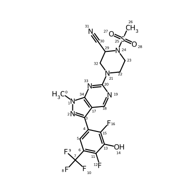 Cn1nc(-c2cc(C(F)(F)F)c(F)c(O)c2F)c2cnc(N3CCN(S(C)(=O)=O)C(C#N)C3)nc21